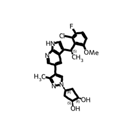 COc1ccc(F)c(Cl)c1[C@@H](C)c1c[nH]c2ncc(-c3cn([C@H]4C[C@@H](O)[C@@H](O)C4)nc3C)cc12